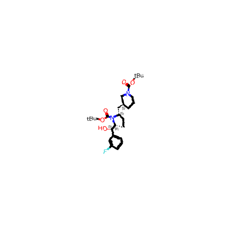 CC(C)(C)OC(=O)N1CCC[C@@H](C[C@@H]2CC[C@H]([C@@H](O)c3cccc(F)c3)N2C(=O)OC(C)(C)C)C1